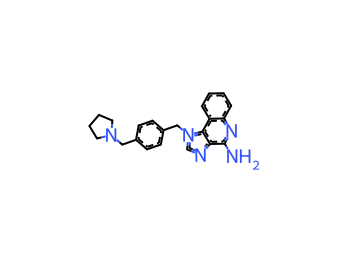 Nc1nc2ccccc2c2c1ncn2Cc1ccc(CN2CCCC2)cc1